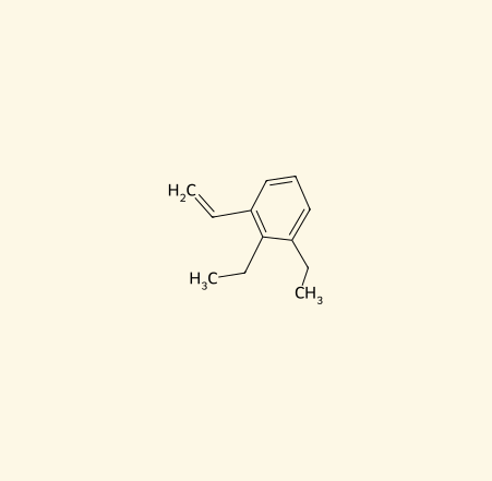 C=Cc1cccc(CC)c1CC